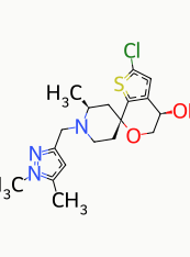 Cc1cc(CN2CC[C@]3(C[C@@H]2C)OC[C@H](O)c2cc(Cl)sc23)nn1C